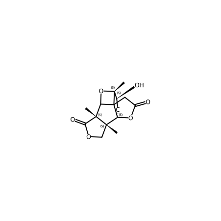 C[C@@]12COC(=O)[C@]1(C)C1O[C@]3(C)[C@@H](O)C[C@]24OC(=O)CC134